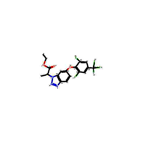 CCOC(=O)C(C)n1nnc2ccc(Oc3c(F)cc(C(F)(F)F)cc3F)cc21